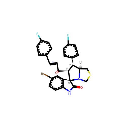 O=C(/C=C/c1ccc(F)cc1)[C@H]1[C@H](c2ccc(F)cc2)[C@H]2CSCN2[C@]12C(=O)Nc1ccc(Br)cc12